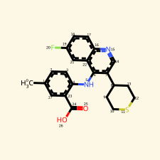 Cc1ccc(Nc2c(C3CCSCC3)cnc3ccc(F)cc23)c(C(=O)O)c1